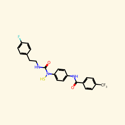 O=C(Nc1ccc(N(S)C(=O)NCCc2ccc(F)cc2)cc1)c1ccc(C(F)(F)F)cc1